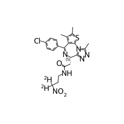 [2H]C([2H])(CCNC(=O)C[C@@H]1N=C(c2ccc(Cl)cc2)c2c(sc(C)c2C)-n2c(C)nnc21)[N+](=O)[O-]